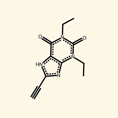 C#Cc1nc2c([nH]1)c(=O)n(CC)c(=O)n2CC